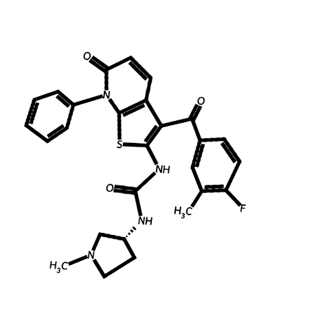 Cc1cc(C(=O)c2c(NC(=O)N[C@@H]3CCN(C)C3)sc3c2ccc(=O)n3-c2ccccc2)ccc1F